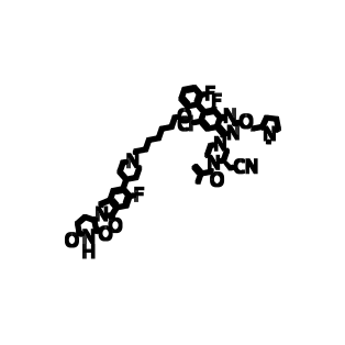 C=C(C)C(=O)N1CCN(c2nc(OCC3CCCN3C)nc3c(F)c(-c4c(F)cccc4OCCCCCCCN4CCC(c5cc6c(cc5F)C(=O)N(C5CCC(=O)NC5=O)C6)CC4)c(Cl)cc23)C[C@H]1CC#N